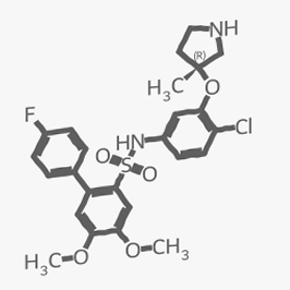 COc1cc(-c2ccc(F)cc2)c(S(=O)(=O)Nc2ccc(Cl)c(O[C@]3(C)CCNC3)c2)cc1OC